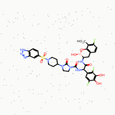 O=C(O)c1c(F)ccc2c1OB(O)C(NC(=O)C(NC(=O)N1CCN(C3CCN(S(=O)(=O)c4ccc5[nH]nnc5c4)CC3)C1=O)c1cc(F)c(O)c(O)c1F)C2